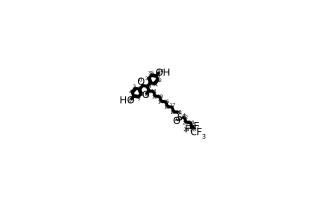 O=C1c2ccc(O)cc2OC(CCCCCCCCC[S+]([O-])CCCC(F)(F)C(F)(F)F)C1c1ccc(O)cc1